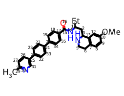 CCC(CC1NCCc2ccc(OC)cc21)NC(=O)c1ccc(-c2ccc(-c3ccc(C)nc3)cc2)cc1